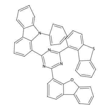 c1ccc(-n2c3ccccc3c3cccc(-c4nc(-c5cccc6c5oc5ccccc56)nc(-c5cccc6sc7ccccc7c56)n4)c32)cc1